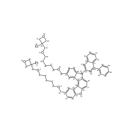 CCC1(COCCCCCOCc2ccc3oc4ccc5c(c6cc(COCCCCCOCC7(CC)COC7)ccc6n5-c5nc(-c6ccccc6)c6ccccc6n5)c4c3c2)COC1